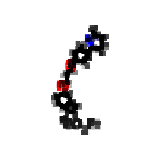 CCOC(=O)C[C@@H]1CCc2cc(OCCCOc3ccc(-c4cccc(C)n4)cc3)ccc21